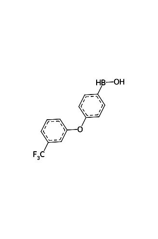 OBc1ccc(Oc2cccc(C(F)(F)F)c2)cc1